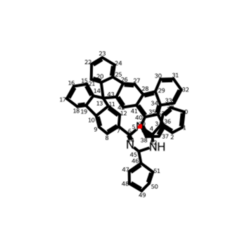 c1ccc(C2=NC(c3ccc4c(c3)C3(c5ccccc5-4)c4ccccc4-c4cc5c6ccccc6c6ccccc6c5cc43)=NC(c3ccccc3)N2)cc1